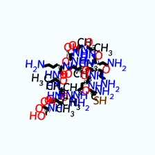 CC[C@H](C)[C@H](NC(=O)[C@H](CO)NC(=O)[C@H](C)NC(=O)[C@H](C)NC(=O)[C@H](CCC(N)=O)NC(=O)[C@H](CCCCN)NC(=O)[C@H](CCCNC(=N)N)NC(=O)[C@@H](N)CS)C(=O)N[C@@H](CCCCN)C(=O)N[C@H](C(=O)N[C@@H](C)C(=O)N[C@H](C(=O)N[C@@H](CO)C(=O)O)C(C)C)C(C)C